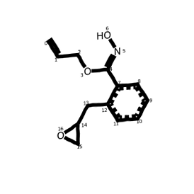 C=CCOC(=NO)c1ccccc1CC1CO1